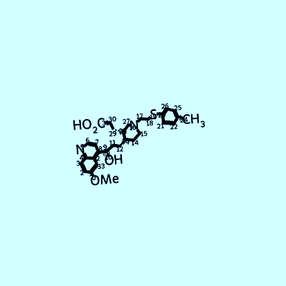 COc1ccc2nccc([C@H](O)CC[C@@H]3CCN(CCSc4ccc(C)cc4)C[C@H]3CCC(=O)O)c2c1